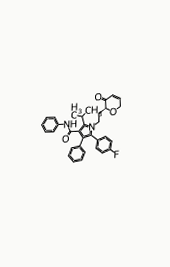 CC(C)c1c(C(=O)Nc2ccccc2)c(-c2ccccc2)c(-c2ccc(F)cc2)n1CC[C@@H]1OCC=CC1=O